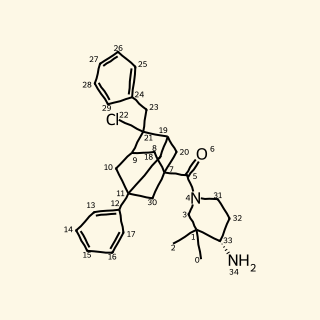 CC1(C)CN(C(=O)C23CC4CC(c5ccccc5)(CC(C2)C4(Cl)Cc2ccccc2)C3)CC[C@@H]1N